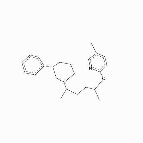 Cc1ccc(OC(C)CCC(C)N2CCC[C@@H](c3ccccc3)C2)nc1